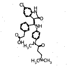 CN(C)CCC(=O)N(C)c1ccc(N/C(=C2\C(=O)Nc3cc(Cl)ccc32)c2cccc(CC(=O)O)c2)cc1